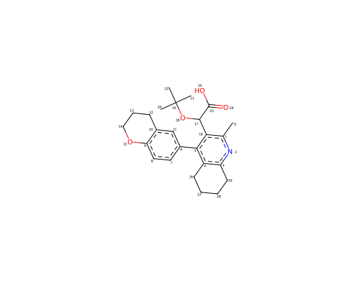 Cc1nc2c(c(-c3ccc4c(c3)CCCO4)c1C(OC(C)(C)C)C(=O)O)CCCC2